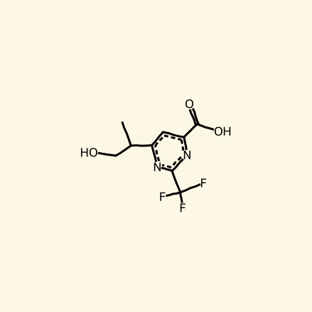 CC(CO)c1cc(C(=O)O)nc(C(F)(F)F)n1